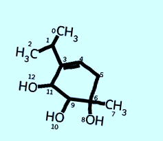 CC(C)C1=CCC(C)(O)C(O)C1O